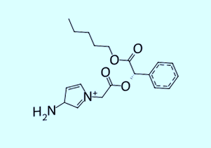 CCCCCOC(=O)[C@@H](OC(=O)C[N+]1=CC(N)C=C1)c1ccccc1